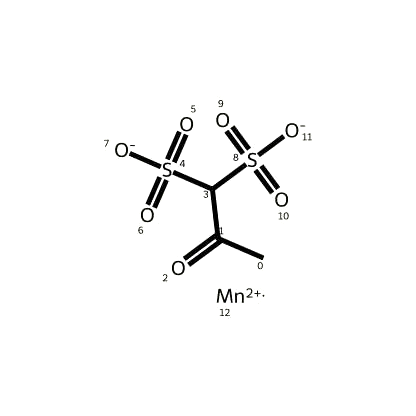 CC(=O)C(S(=O)(=O)[O-])S(=O)(=O)[O-].[Mn+2]